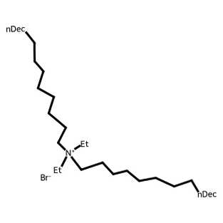 CCCCCCCCCCCCCCCCCC[N+](CC)(CC)CCCCCCCCCCCCCCCCCC.[Br-]